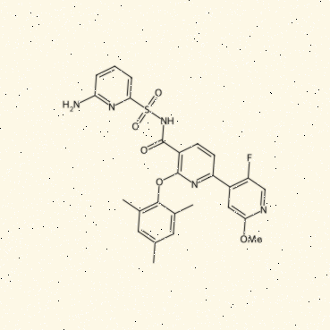 COc1cc(-c2ccc(C(=O)NS(=O)(=O)c3cccc(N)n3)c(Oc3c(C)cc(C)cc3C)n2)c(F)cn1